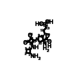 NC1CCC1Nc1c(N2C[C@H](CCCB(O)O)[C@](N)(C(=O)O)C2)c(=O)c1=O